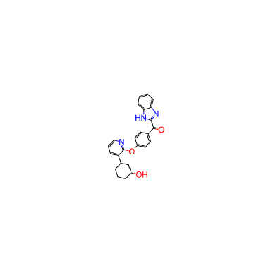 O=C(c1ccc(Oc2ncccc2C2CCCC(O)C2)cc1)c1nc2ccccc2[nH]1